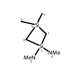 CN[Si]1(NC)C[Si](C)(C)C1